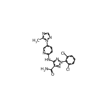 Cc1ncnn1-c1ccc(Nc2nn(-c3c(Cl)cccc3Cl)nc2C(N)=O)nc1